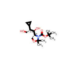 CC(C)(C)OC(=O)N1[C@@H]([C@H](O)[C@H](CO)C2CC2)COC1(C)C